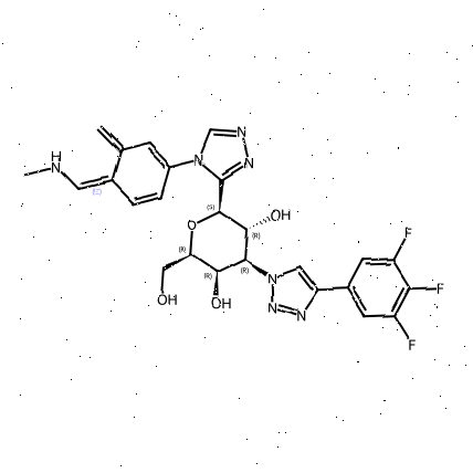 C=c1cc(-n2cnnc2[C@@H]2O[C@H](CO)[C@H](O)[C@H](n3cc(-c4cc(F)c(F)c(F)c4)nn3)[C@H]2O)cc/c1=C/NC